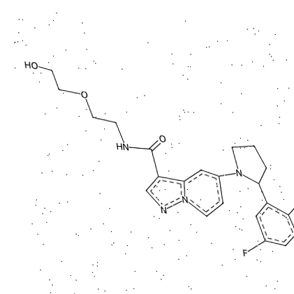 O=C(NCCOCCO)c1cnn2ccc(N3CCCC3c3cc(F)ccc3F)cc12